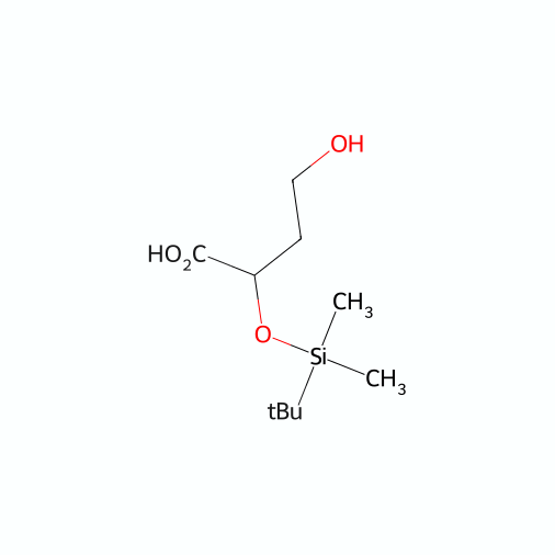 CC(C)(C)[Si](C)(C)OC(CCO)C(=O)O